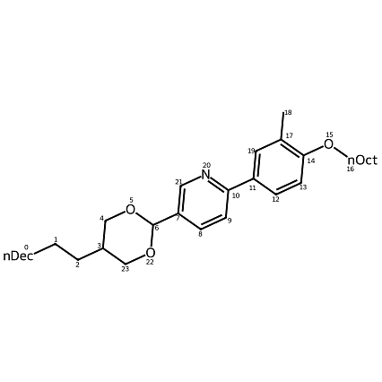 CCCCCCCCCCCCC1COC(c2ccc(-c3ccc(OCCCCCCCC)c(C)c3)nc2)OC1